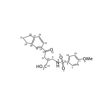 COc1ccc(S(=O)(=O)NCC(CC(=O)c2ccc3c(c2)CCC3)C(=O)O)cc1